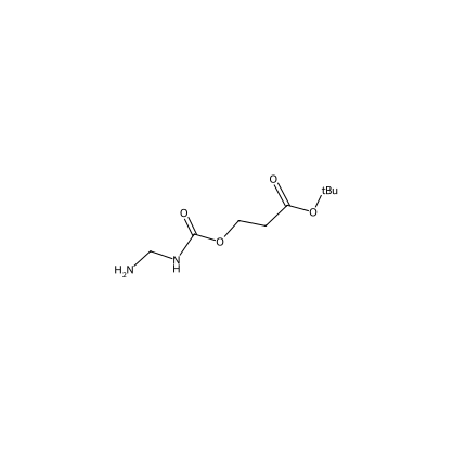 CC(C)(C)OC(=O)CCOC(=O)NCN